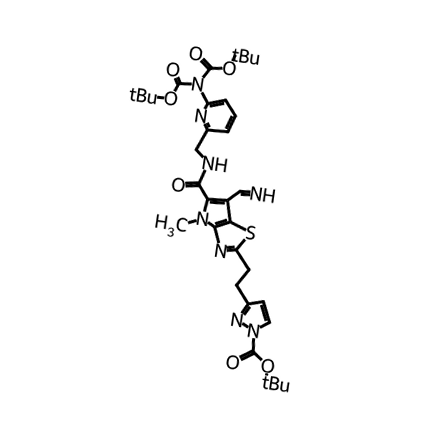 Cn1c(C(=O)NCc2cccc(N(C(=O)OC(C)(C)C)C(=O)OC(C)(C)C)n2)c(C=N)c2sc(CCc3ccn(C(=O)OC(C)(C)C)n3)nc21